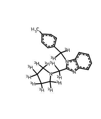 [2H]C([2H])(c1nc2ccccc2n1C([2H])([2H])c1ccc(C)cc1)N1C([2H])([2H])C([2H])([2H])C([2H])([2H])C1([2H])[2H]